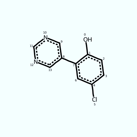 Oc1ccc(Cl)cc1-c1cncnc1